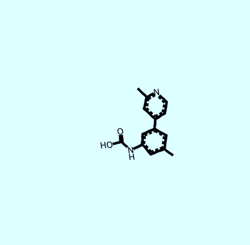 Cc1cc(NC(=O)O)cc(-c2ccnc(C)c2)c1